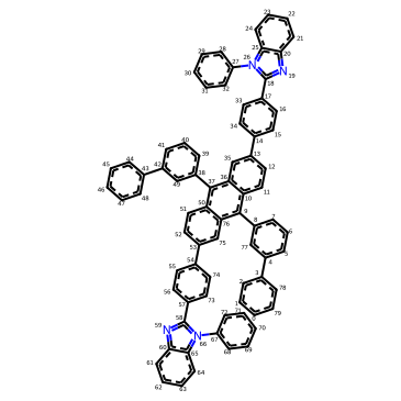 c1ccc(-c2cccc(-c3c4ccc(-c5ccc(-c6nc7ccccc7n6-c6ccccc6)cc5)cc4c(-c4cccc(-c5ccccc5)c4)c4ccc(-c5ccc(-c6nc7ccccc7n6-c6ccccc6)cc5)cc34)c2)cc1